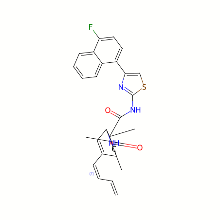 C=C/C=C\C1=CC2NC(=O)C1(C)CC2(C)C(=O)Nc1nc(-c2ccc(F)c3ccccc23)cs1